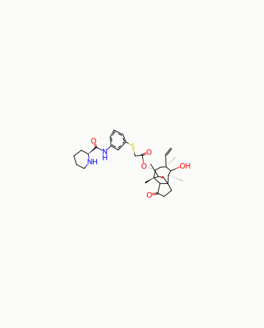 C=C[C@]1(C)C[C@@H](OC(=O)CSc2cccc(NC(=O)[C@@H]3CCCCN3)c2)[C@]2(C)C(C)CCC3(CCC(=O)C32)[C@@H](C)C1O